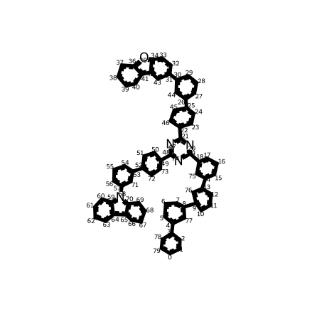 c1ccc(-c2cccc(-c3cccc(-c4cccc(-c5nc(-c6ccc(-c7cccc(-c8ccc9oc%10ccccc%10c9c8)c7)cc6)nc(-c6ccc(-c7cccc(-n8c9ccccc9c9ccccc98)c7)cc6)n5)c4)c3)c2)cc1